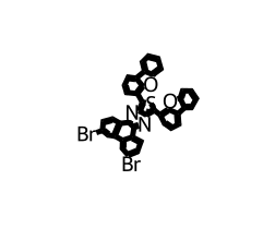 Brc1ccc2c(c1)c1cc(Br)ccc1c1nc3c(-c4cccc5c4oc4ccccc45)sc(-c4cccc5c4oc4ccccc45)c3nc21